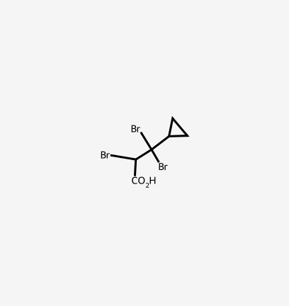 O=C(O)C(Br)C(Br)(Br)C1CC1